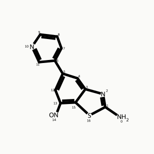 Nc1nc2cc(-c3cccnc3)cc(N=O)c2s1